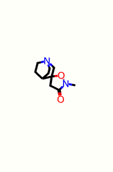 CN1OC2(CC1=O)CN1CCC2CC1